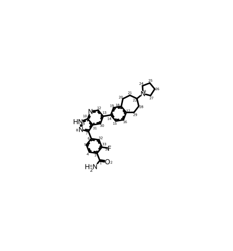 NC(=O)c1ccc(-c2n[nH]c3ncc(-c4ccc5c(c4)CCC(N4CCCC4)CC5)cc23)cc1F